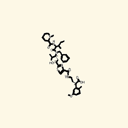 CCC(C)C(NC(=O)C1CCCCN1C)C(=O)N(Cc1ccccc1)[C@H](C[C@@H](O)c1nc(C(=O)NCC[C@@H](C(=O)O)c2cc(OC)ccc2C)cs1)C(C)C